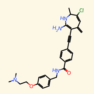 C=C1C=C(Cl)C(C)NC(N)=C1C#Cc1ccc(C(=O)NCc2ccc(OCCN(C)C)cc2)cc1